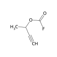 C#CC(C)OC(=O)F